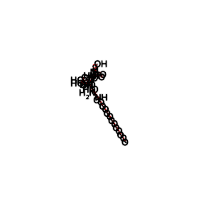 CCCCc1nc2c(NC(=O)OCc3ccc(O[C@H]4O[C@H](CO)[C@@H](O)[C@H](O)[C@@H]4O)c(NC(=O)CCNC(=O)[C@@H](N)CCCCNC(=O)CCOCCOCCOCCOCCOCCOCCOCCOCCOCCOCCOCCOC)c3)nc3cc(C(=O)OC)ccc3c2n1CCCCO